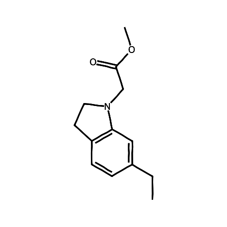 CCc1ccc2c(c1)N(CC(=O)OC)CC2